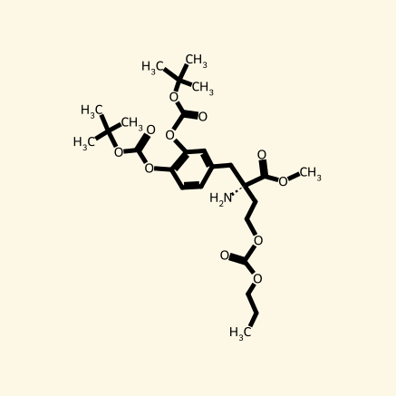 CCCOC(=O)OCC[C@@](N)(Cc1ccc(OC(=O)OC(C)(C)C)c(OC(=O)OC(C)(C)C)c1)C(=O)OC